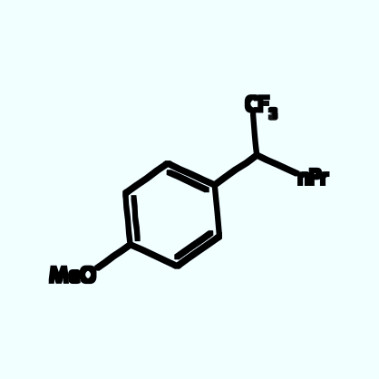 CCCC(c1ccc(OC)cc1)C(F)(F)F